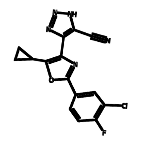 N#Cc1[nH]nnc1-c1nc(-c2ccc(F)c(Cl)c2)oc1C1CC1